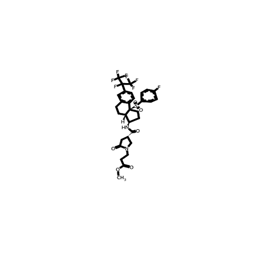 COC(=O)CCN1C[C@@H](C(=O)N[C@@H]2CC[C@@]3(S(=O)(=O)c4ccc(F)cc4)c4ccc(C(F)(C(F)(F)F)C(F)(F)F)cc4CC[C@@H]23)CC1=O